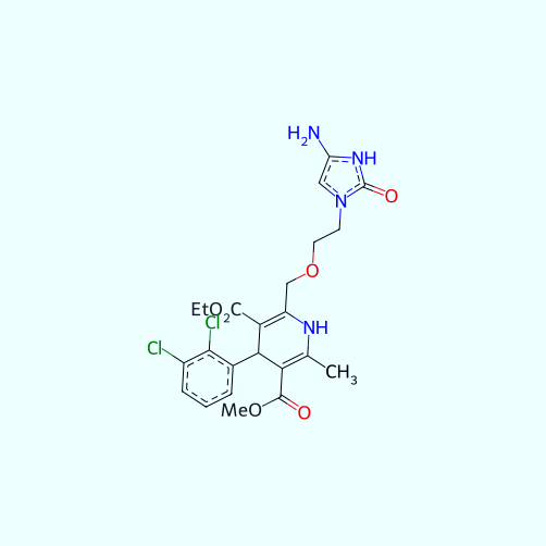 CCOC(=O)C1=C(COCCn2cc(N)[nH]c2=O)NC(C)=C(C(=O)OC)C1c1cccc(Cl)c1Cl